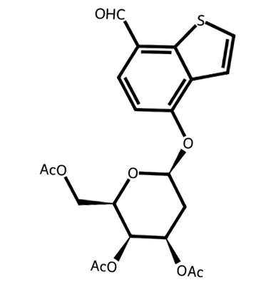 CC(=O)OC[C@H]1O[C@@H](Oc2ccc(C=O)c3sccc23)C[C@@H](OC(C)=O)[C@H]1OC(C)=O